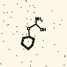 NC(O)Oc1ccccc1